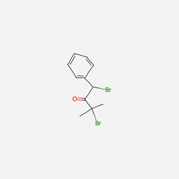 CC(C)(Br)C(=O)C(Br)c1ccccc1